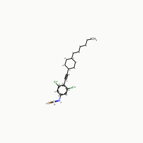 CCCCCCC1CCC(C#Cc2c(F)cc(N=C=S)cc2F)CC1